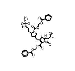 C[C@@H](O)[C@H]1C(=O)N2C(C(=O)OCOC(=O)c3ccccc3)=C(S[C@H]3C[C@@H](CCNS(N)(=O)=O)N(C(=O)OCOC(=O)c4ccccc4)C3)[C@H](C)[C@H]12